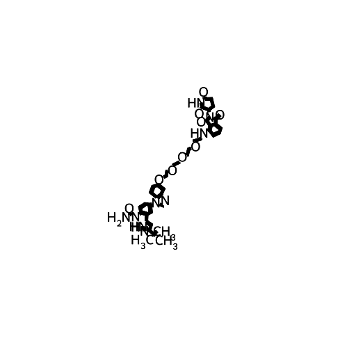 CC(C)(C)c1cc(-c2cc(-n3cnc4cc(OCCOCCOCCOCCNc5cccc6c5C(=O)N(C5CCC(=O)NC5=O)C6=O)ccc43)ccc2NC(N)=O)[nH]n1